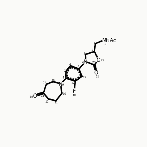 CC(=O)NCC1CN(c2ccc(N3CCCC(=O)CC3)c(F)c2)C(=O)O1